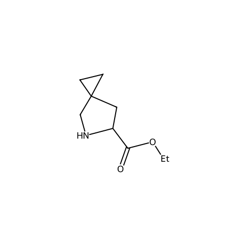 CCOC(=O)C1CC2(CC2)CN1